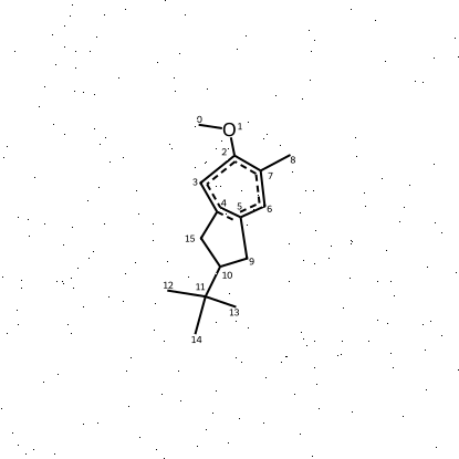 COc1cc2c(cc1C)CC(C(C)(C)C)C2